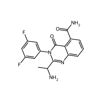 CC(N)c1nc2cccc(C(N)=O)c2c(=O)n1-c1cc(F)cc(F)c1